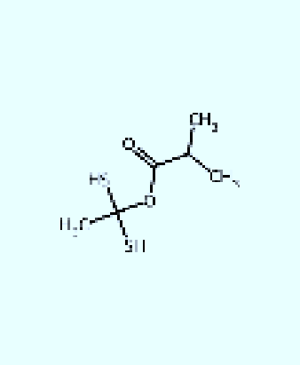 CC(C)C(=O)OC(C)(S)S